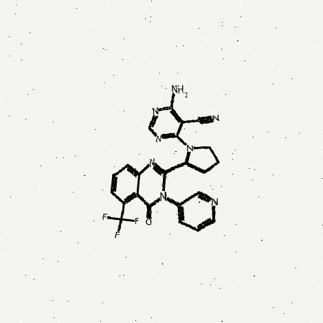 N#Cc1c(N)ncnc1N1CCCC1c1nc2cccc(C(F)(F)F)c2c(=O)n1-c1cccnc1